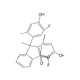 Cc1cc(O)c(F)cc1C(C)(c1cc(F)c(O)cc1C)c1ccccc1S(=O)(=O)I